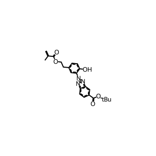 C=C(C)C(=O)OCCc1ccc(O)c(-n2n3c4ccc(C(=O)OC(C)(C)C)cc4n23)c1